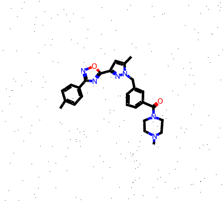 Cc1ccc(-c2noc(-c3cc(C)n(Cc4cccc(C(=O)N5CCN(C)CC5)c4)n3)n2)cc1